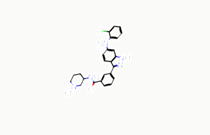 CCN1CCCC(NC(=O)c2cccc(-c3n[nH]c4cc(Nc5ccccc5Cl)ccc34)c2)C1